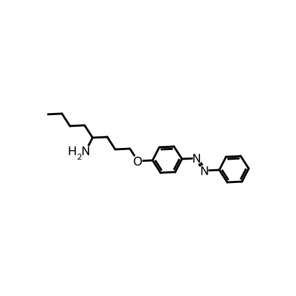 CCCCC(N)CCCOc1ccc(N=Nc2ccccc2)cc1